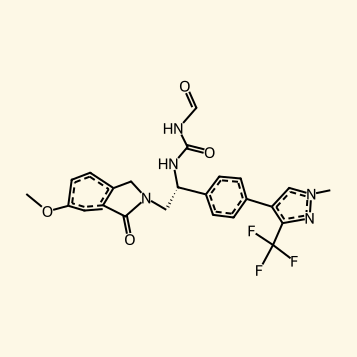 COc1ccc2c(c1)C(=O)N(C[C@H](NC(=O)NC=O)c1ccc(-c3cn(C)nc3C(F)(F)F)cc1)C2